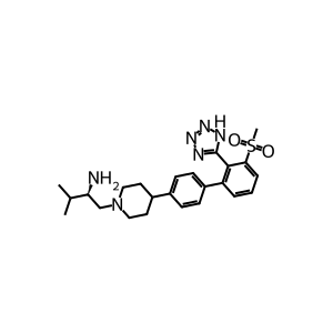 CC(C)[C@@H](N)CN1CCC(c2ccc(-c3cccc(S(C)(=O)=O)c3-c3nnn[nH]3)cc2)CC1